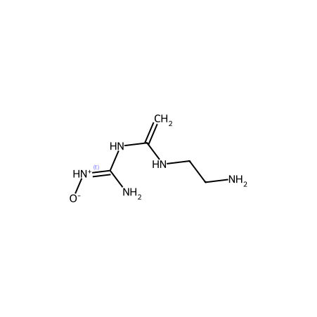 C=C(NCCN)N/C(N)=[NH+]/[O-]